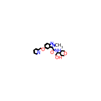 Cn1nc2ccc(OCc3ccccn3)cc2c1C(=O)NC(CO)C1CCOCC1